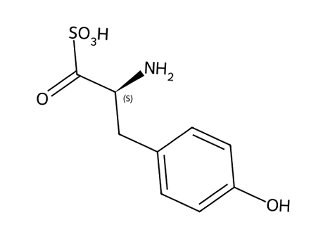 N[C@@H](Cc1ccc(O)cc1)C(=O)S(=O)(=O)O